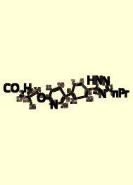 CCCc1n[nH]c(-c2ccc(-c3ccc(OCC(C)(C)C(=O)O)nc3)cc2)n1